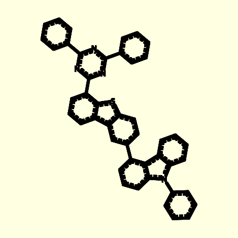 c1ccc(-c2nc(-c3ccccc3)nc(-c3cccc4c3sc3ccc(-c5cccc6c5c5ccccc5n6-c5ccccc5)cc34)n2)cc1